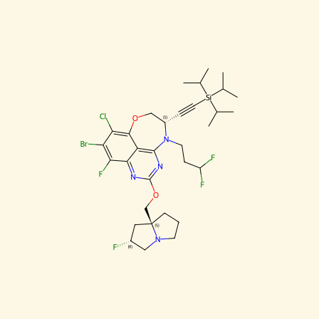 CC(C)[Si](C#C[C@H]1COc2c(Cl)c(Br)c(F)c3nc(OC[C@@]45CCCN4C[C@H](F)C5)nc(c23)N1CCC(F)F)(C(C)C)C(C)C